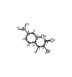 Cc1c(Br)c(=O)oc2cc(N(C)C)ccc12